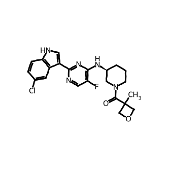 CC1(C(=O)N2CCC[C@H](Nc3nc(-c4c[nH]c5ccc(Cl)cc45)ncc3F)C2)COC1